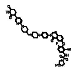 N#Cc1c(NS(=O)(=O)N2CC[C@@H](F)C2)ccc(F)c1Oc1ccc2ncn(-c3ccc(N4CCN(CC5CCN(c6ccc(C7CCC(=O)NC7=O)cn6)CC5)CC4)cc3)c(=O)c2c1